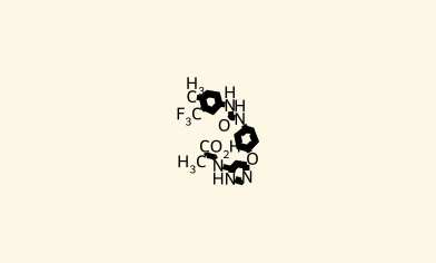 Cc1ccc(NC(=O)Nc2ccc(Oc3cc(NCC(C)C(=O)O)ncn3)cc2)cc1C(F)(F)F